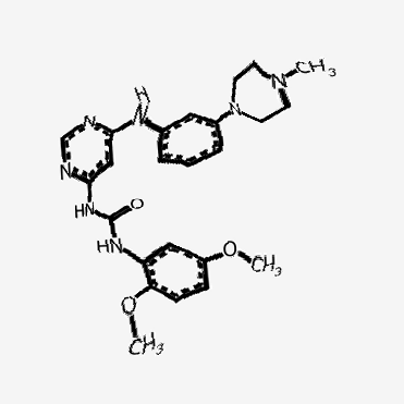 COc1ccc(OC)c(NC(=O)Nc2cc(Nc3cccc(N4CCN(C)CC4)c3)ncn2)c1